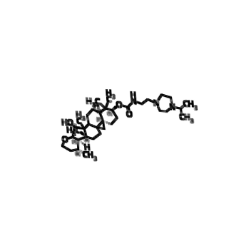 CC(C)N1CCN(CCNC(=O)O[C@H]2CC[C@]34CC35CC[C@]3(C)[C@@H]6C(OCC[C@H]6C)[C@H](O)C3(C)C5CC[C@H]4C2(C)C)CC1